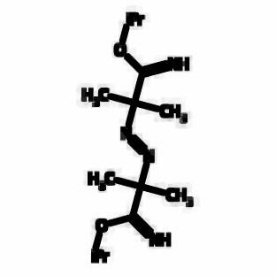 CC(C)OC(=N)C(C)(C)N=NC(C)(C)C(=N)OC(C)C